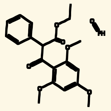 CCOC(=O)C(C(=O)c1c(OC)cc(OC)cc1OC)c1ccccc1.O=P